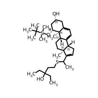 CCC(O)(CC)CCSC(C)C1=CC[C@H]2C3=CC=C4C[C@@H](O)C[C@@H](O[Si](C)(C)C(C)(C)C)[C@]4(C)[C@H]3CC[C@]12C